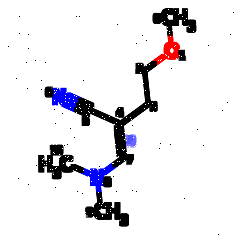 COCC/C(C#N)=C/N(C)C